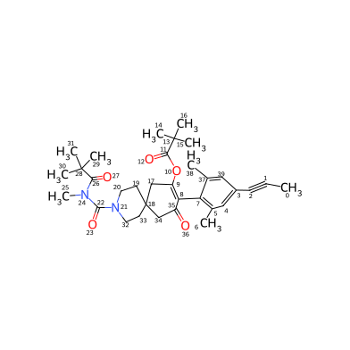 CC#Cc1cc(C)c(C2=C(OC(=O)C(C)(C)C)CC3(CCN(C(=O)N(C)C(=O)C(C)(C)C)CC3)CC2=O)c(C)c1